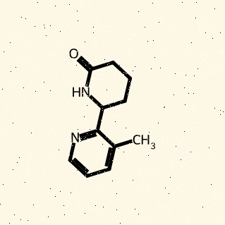 Cc1cccnc1C1CCCC(=O)N1